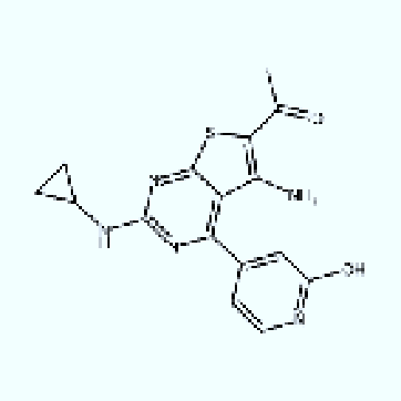 CC(=O)c1sc2nc(NC3CC3)nc(-c3ccnc(O)c3)c2c1N